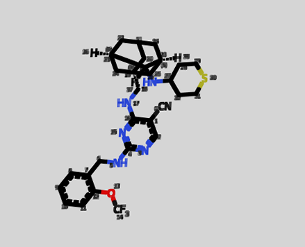 N#Cc1cnc(NCc2ccccc2OC(F)(F)F)nc1NC[C@@]12CC3C[C@H](C1)[C@@H](NC1CCSCC1)[C@@H](C3)C2